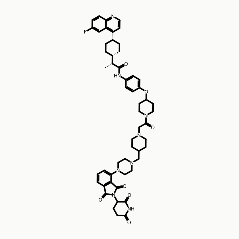 C[C@@H](C(=O)Nc1ccc(OC2CCN(C(=O)CN3CCC(CN4CCN(c5cccc6c5C(=O)N(C5CCC(=O)NC5=O)C6=O)CC4)CC3)CC2)cc1)[C@H]1CC[C@@H](c2ccnc3ccc(F)cc32)CC1